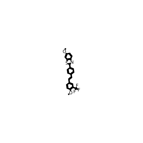 COc1ccc2nc(-c3ccc(C=Cc4ccc(OC)c(C(F)(F)F)c4)cc3)sc2c1